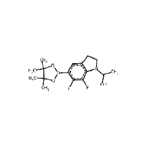 CC(O)N1CCc2cc(B3OC(C)(C)C(C)(C)O3)c(F)c(F)c21